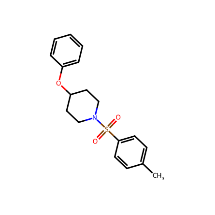 Cc1ccc(S(=O)(=O)N2CCC(Oc3ccccc3)CC2)cc1